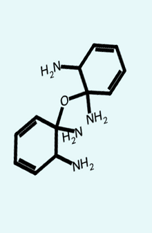 NC1C=CC=CC1(N)OC1(N)C=CC=CC1N